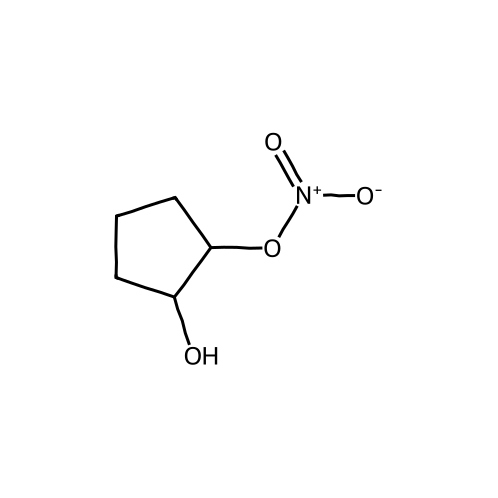 O=[N+]([O-])OC1CCCC1O